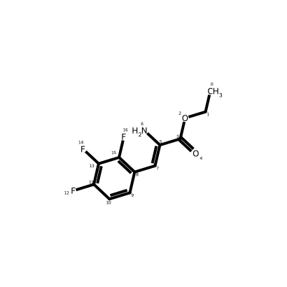 CCOC(=O)/C(N)=C/c1ccc(F)c(F)c1F